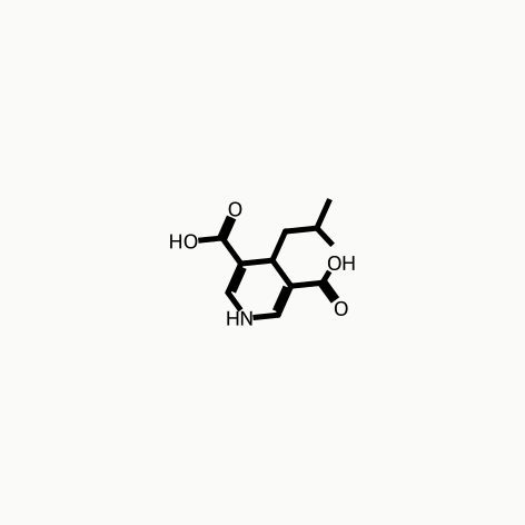 CC(C)CC1C(C(=O)O)=CNC=C1C(=O)O